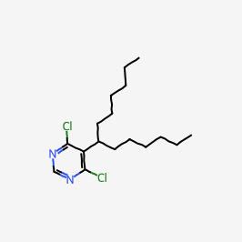 CCCCCCC(CCCCCC)c1c(Cl)ncnc1Cl